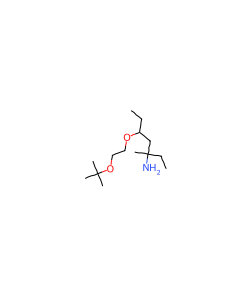 CCC(CC(C)(N)CC)OCCOC(C)(C)C